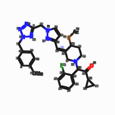 COc1ccc(Cn2nnc(Cn3ccc(/C=C4/CN(C(C(=O)C5CC5)c5ccccc5F)CCC4SC(C)=O)n3)n2)cc1